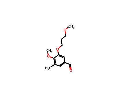 COCCCOc1cc(C=O)cc(C)c1OC